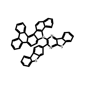 c1ccc2c(c1)ccc1c3c4c5ccccc5c5ccccc5c4ccc3n(-c3nc4c(nc3-c3ccc5c(c3)sc3ccccc35)sc3ccccc34)c21